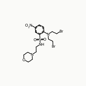 O=[N+]([O-])c1ccc(N(CCBr)CCBr)c(S(=O)(=O)NCCN2CCOCC2)c1